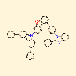 C1=CC(c2ccccc2)Cc2c1n(-c1ccc3c(c1)oc1cccc(-c4ccc(N5c6ccccc6NC5c5ccccc5)cc4)c13)c1ccc(-c3ccccc3)cc21